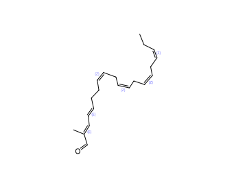 CC/C=C\C/C=C\C/C=C\C/C=C\CC/C=C/C=C(\C)C=O